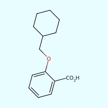 O=C(O)c1ccccc1OCC1CCCCC1